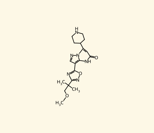 COCC(C)(C)c1noc(-c2cnn3c(C4CCNCC4)cc(=O)[nH]c23)n1